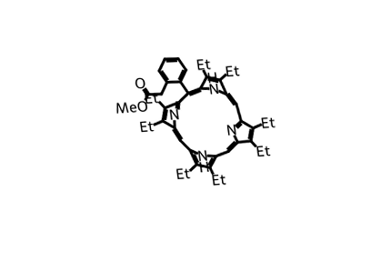 CCC1=C(CC)c2cc3[nH]c(c(CC)c3CC)c(-c3ccccc3CC(=O)OC)c3nc(cc4[nH]c(cc1n2)c(CC)c4CC)C(CC)=C3CC